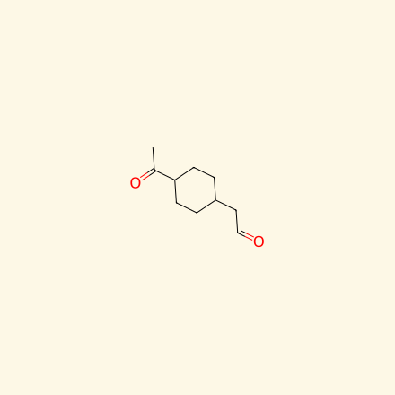 CC(=O)C1CCC(CC=O)CC1